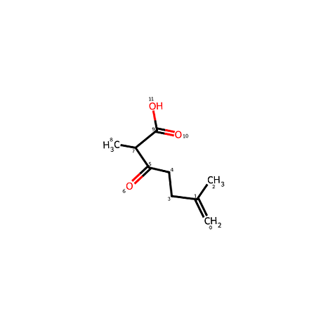 C=C(C)CCC(=O)C(C)C(=O)O